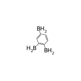 Bc1ccc(B)c(B)c1